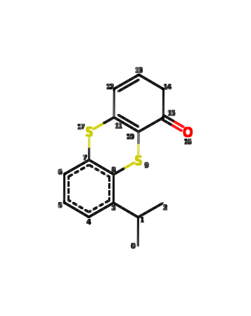 CC(C)c1cccc2c1SC1=C(C=CCC1=O)S2